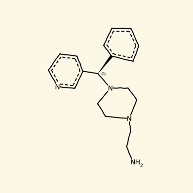 NCCN1CCN([C@H](c2ccccc2)c2cccnc2)CC1